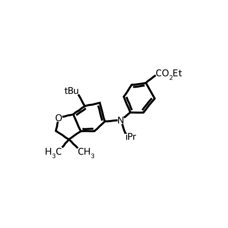 CCOC(=O)c1ccc(N(c2cc(C(C)(C)C)c3c(c2)C(C)(C)CO3)C(C)C)cc1